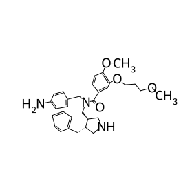 COCCCOc1cc(C(=O)N(Cc2ccc(N)cc2)C[C@H]2CNC[C@@H]2Cc2ccccc2)ccc1OC